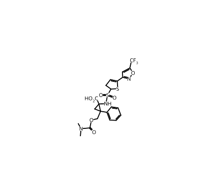 CN(C)C(=O)OCC1(c2ccccc2)CC1(NS(=O)(=O)C1CC=C(c2cc(C(F)(F)F)on2)S1)C(=O)O